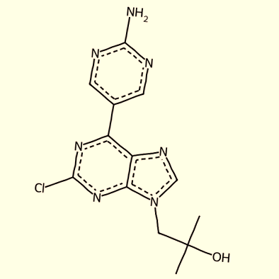 CC(C)(O)Cn1cnc2c(-c3cnc(N)nc3)nc(Cl)nc21